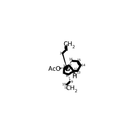 C=CC[C@@H]1C[C@@]2(OC(C)=O)C[C@@H](CC=C)[C@H]3CC=CC[C@@]32O1